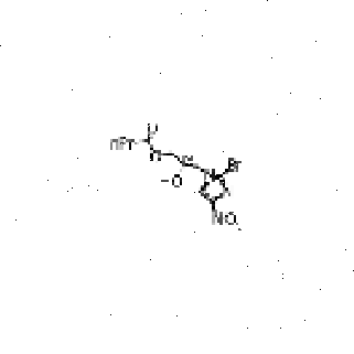 CCCC(=O)OC[C@@H](O)Cn1cc([N+](=O)[O-])nc1Br